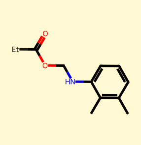 CCC(=O)OCNc1cccc(C)c1C